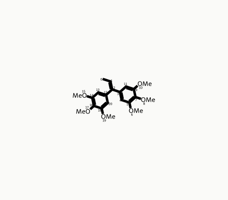 CC=C(c1cc(OC)c(OC)c(OC)c1)c1cc(OC)c(OC)c(OC)c1